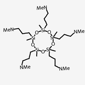 CNCCC[Si]1(C)O[Si](C)(CCCNC)O[Si](C)(CCCNC)O[Si](C)(CCCNC)O[Si](C)(CCCNC)O1